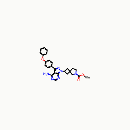 CC(C)(C)OC(=O)N1CCC2(CC(n3nc(-c4ccc(Oc5ccccc5)cc4)c4c(N)ncnc43)C2)C1